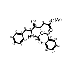 COC(=O)CCC(=O)C(Cc1ccccc1)NC(=O)OCc1ccccc1